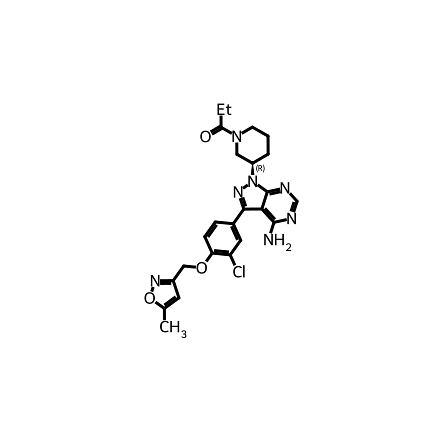 CCC(=O)N1CCC[C@@H](n2nc(-c3ccc(OCc4cc(C)on4)c(Cl)c3)c3c(N)ncnc32)C1